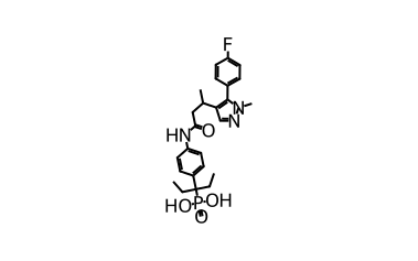 CCC(CC)(c1ccc(NC(=O)CC(C)c2cnn(C)c2-c2ccc(F)cc2)cc1)P(=O)(O)O